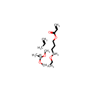 C=CC.C=CC(=O)OCCC[SiH2]OCC.CO[SiH](C)OC